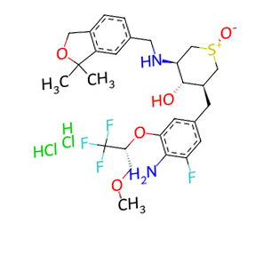 COC[C@@H](Oc1cc(C[C@@H]2C[S@@+]([O-])C[C@H](NCc3ccc4c(c3)C(C)(C)OC4)[C@H]2O)cc(F)c1N)C(F)(F)F.Cl.Cl